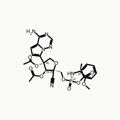 COC(=O)[C@H](C)N[P@](=O)(OC[C@@]1(C#N)OC[C@](OC(C)=O)(c2ccc3c(N)ncnn23)[C@@H]1OC(C)=O)Oc1ccccc1